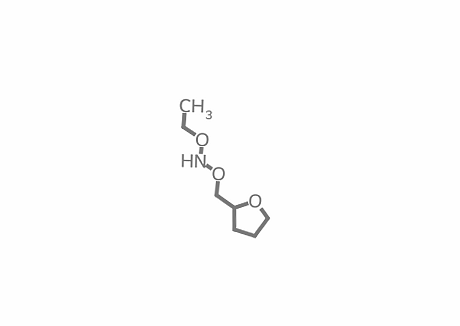 CCONOCC1CCCO1